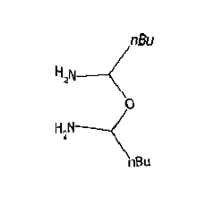 CCCCC(N)OC(N)CCCC